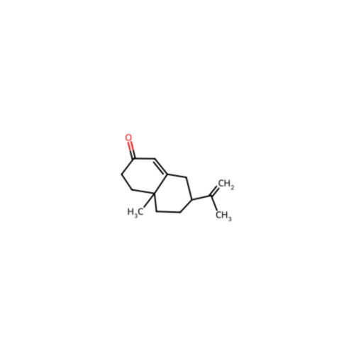 C=C(C)C1CCC2(C)CCC(=O)C=C2C1